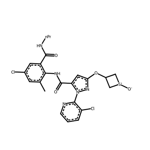 CCCNC(=O)c1cc(Cl)cc(C)c1NC(=O)c1cc(OC2C[S+]([O-])C2)nn1-c1ncccc1Cl